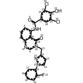 O=C(Nc1cccc2ncn(Cc3ccn(-c4ccccc4F)n3)c(=O)c12)c1cc(Cl)c(O)c(Cl)c1